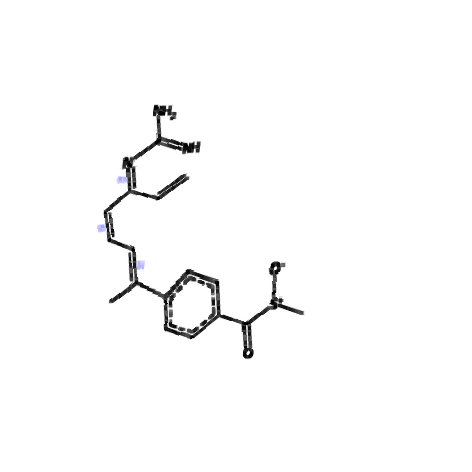 C=CC(/C=C\C=C(/C)c1ccc(C(=O)[S+](C)[O-])cc1)=N\C(=N)N